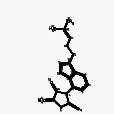 C=C1SC(=O)N(c2cccc3c2ccn3CCC=C(C)C)C1=O